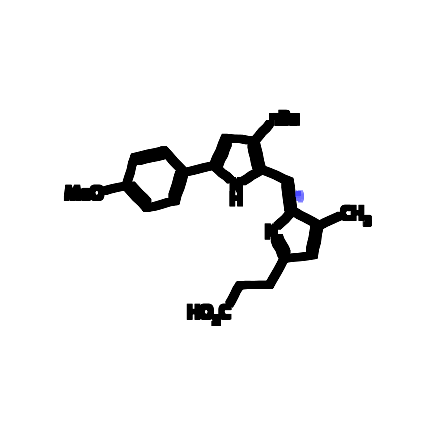 CCCCc1cc(-c2ccc(OC)cc2)[nH]c1/C=C1\N=C(CCC(=O)O)C=C1C